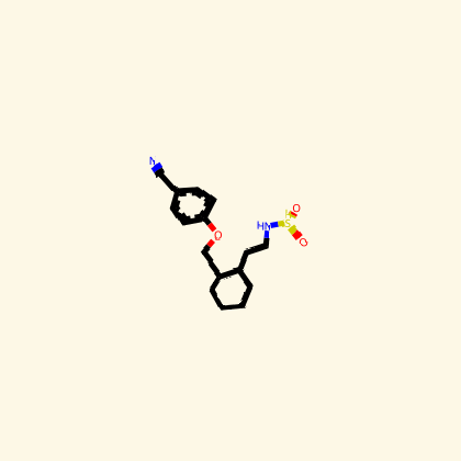 N#Cc1ccc(OCC2CCCCC2CCN[SH](=O)=O)cc1